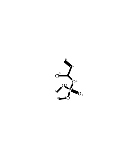 C=CC(Cl)OP(=O)(OC)OC